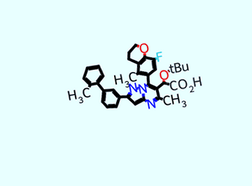 Cc1ccccc1-c1cccc(-c2cc3nc(C)c(C(OC(C)(C)C)C(=O)O)c(-c4cc(F)c5c(c4C)CCCO5)n3n2)c1